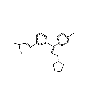 Cc1ccc(/C(=C\CN2CCCC2)c2cccc(C=CC(C)O)n2)cc1